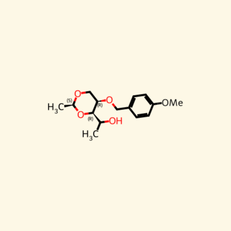 COc1ccc(CO[C@@H]2CO[C@H](C)O[C@@H]2C(C)O)cc1